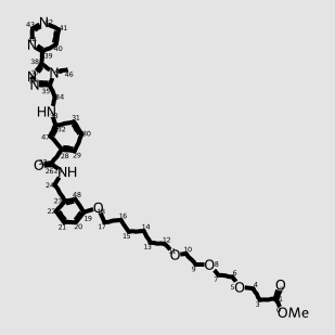 COC(=O)CCOCCOCCOCCCCCCOc1cccc(CNC(=O)c2cccc(NCc3nnc(-c4ccncn4)n3C)c2)c1